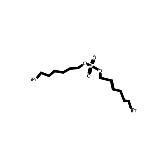 CC(C)CCCCCCOS(=O)(=O)OCCCCCCC(C)C